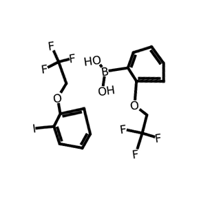 FC(F)(F)COc1ccccc1I.OB(O)c1ccccc1OCC(F)(F)F